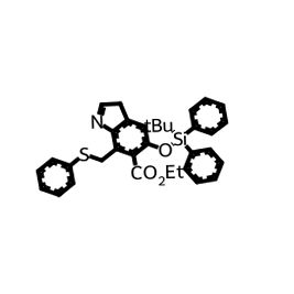 CCOC(=O)c1c(O[Si](c2ccccc2)(c2ccccc2)C(C)(C)C)cc2c(c1CSc1ccccc1)N=CC2